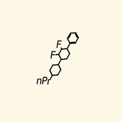 CCCC1CCC(C2CCC(c3ccccc3)C(F)C2F)CC1